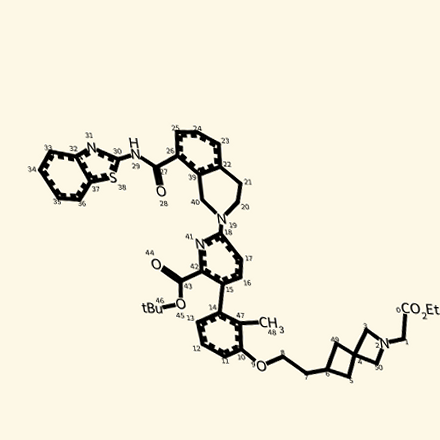 CCOC(=O)CN1CC2(CC(CCOc3cccc(-c4ccc(N5CCc6cccc(C(=O)Nc7nc8ccccc8s7)c6C5)nc4C(=O)OC(C)(C)C)c3C)C2)C1